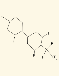 CC1CCC(C2CC(F)C(C(F)(F)C(F)(F)F)C(F)C2)C(F)C1